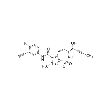 CC#CC(O)[C@@H]1C=Cc2c(cn(C)c2C(=O)Nc2ccc(F)c(C#N)c2)S(=O)(=O)N1